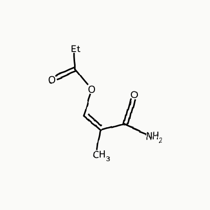 CCC(=O)OC=C(C)C(N)=O